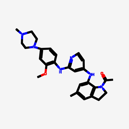 COc1cc(N2CCN(C)CC2)ccc1Nc1cc(Nc2cc(C)cc3c2N(C(C)=O)CC3)ccn1